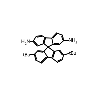 CC(C)(C)c1ccc2c(c1)C1(c3cc(N)ccc3-c3ccc(N)cc31)c1cc(C(C)(C)C)ccc1-2